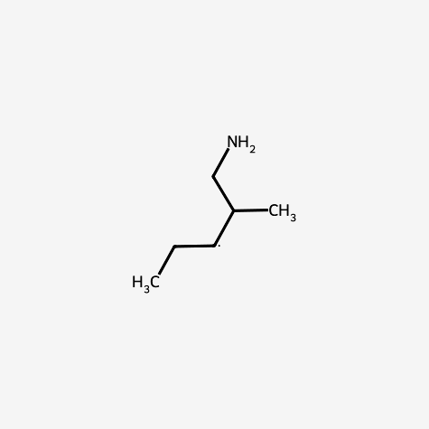 CC[CH]C(C)CN